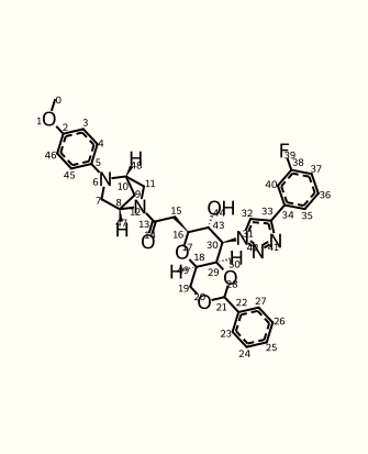 COc1ccc(N2C[C@@H]3C[C@H]2CN3C(=O)C[C@@H]2O[C@@H]3COC(c4ccccc4)O[C@@H]3[C@H](n3cc(-c4cccc(F)c4)nn3)[C@H]2O)cc1